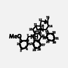 COc1ccccc1CNC1CC2CC3CN(C)CC2N3C1C(c1ccccc1)c1ccccc1